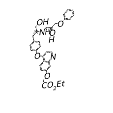 CCOC(=O)COc1ccc2c(Oc3ccc(C[C@@H](CO)NC[C@H](O)COc4ccccc4)cc3)ccnc2c1